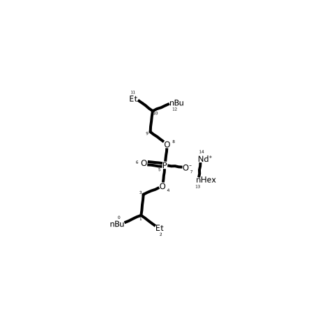 CCCCC(CC)COP(=O)([O-])OCC(CC)CCCC.CCCCC[CH2][Nd+]